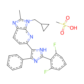 CS(=O)(=O)O.Cc1nc2ccc(-c3[nH]c(-c4c(F)cccc4F)nc3-c3ccccc3)nc2n1CC1CC1